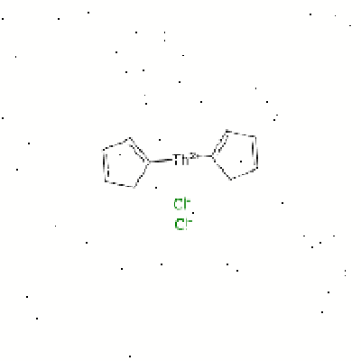 C1=CC[C]([Th+2][C]2=CC=CC2)=C1.[Cl-].[Cl-]